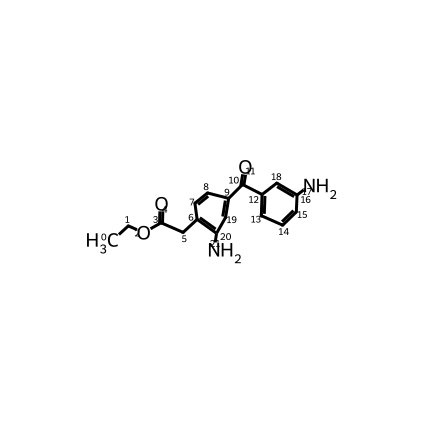 CCOC(=O)Cc1ccc(C(=O)c2cccc(N)c2)cc1N